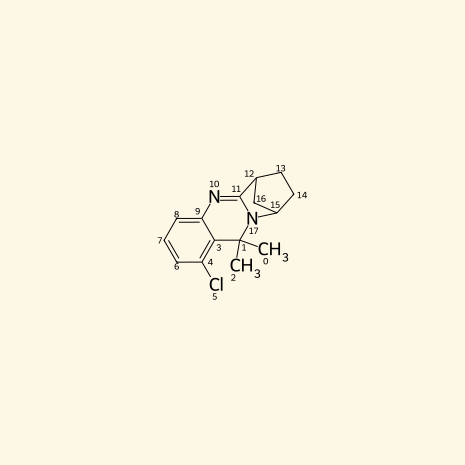 CC1(C)c2c(Cl)cccc2N=C2C3CCC(C3)N21